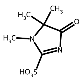 CN1C(S(=O)(=O)O)=NC(=O)C1(C)C